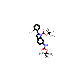 Cc1ccccc1-c1cc2ccc(NC(=O)OC(C)(C)C)cc2n1C(=O)OC(C)(C)C